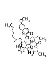 C=CCCC[C@@H]1C[C@H]1OC(=O)N[C@H](C(=O)N1C[C@H](Oc2nc3cc(OC)ccc3nc2Cl)[C@@H](CC)[C@H]1C(=O)OCC(C)C)C(C)(C)C